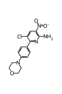 Nc1nc(-c2ccc(N3CCOCC3)cc2)c(Cl)cc1[N+](=O)[O-]